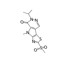 CC(C)n1ncc2c3sc(S(C)(=O)=O)nc3n(C)c2c1=O